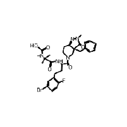 CN1N=C2CCN(C(=O)C(CCc3cc(Br)ccc3F)NC(=O)C(C)(C)NC(=O)O)CC2(Cc2ccccc2)C1=O